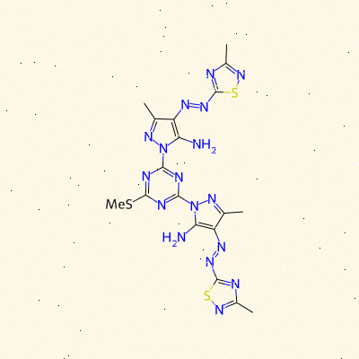 CSc1nc(-n2nc(C)c(N=Nc3nc(C)ns3)c2N)nc(-n2nc(C)c(N=Nc3nc(C)ns3)c2N)n1